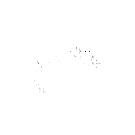 CC1(C)c2ccccc2N(c2ccc(-c3ccc(-c4ccc(N(c5ccccc5)c5ccc(-c6cccc(-c7nc8ccccc8o7)c6)cc5)cc4)cc3)cc2)c2ccc(-c3cccc(-c4nc5ccccc5o4)c3)cc21